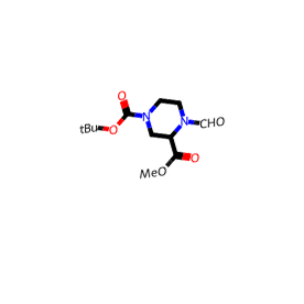 COC(=O)C1CN(C(=O)OC(C)(C)C)CCN1C=O